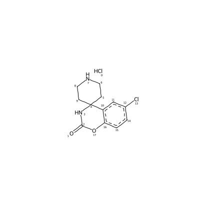 Cl.O=C1NC2(CCNCC2)c2cc(Cl)ccc2O1